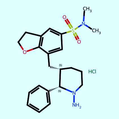 CN(C)S(=O)(=O)c1cc2c(c(C[C@@H]3CCCN(N)[C@@H]3c3ccccc3)c1)OCC2.Cl